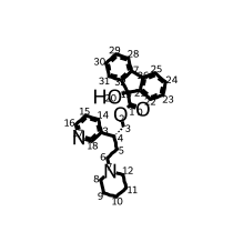 O=C(OC[C@H](CCN1CCCCC1)c1cccnc1)C1(O)c2ccccc2-c2ccccc21